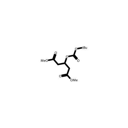 COC(=O)CC(CC(=O)OC)OC(=O)OC(C)(C)C